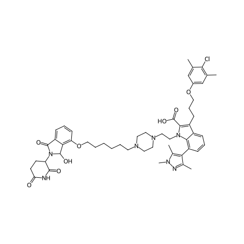 Cc1cc(OCCCc2c(C(=O)O)n(CCN3CCN(CCCCCCOc4cccc5c4C(O)N(C4CCC(=O)NC4=O)C5=O)CC3)c3c(-c4c(C)nn(C)c4C)cccc23)cc(C)c1Cl